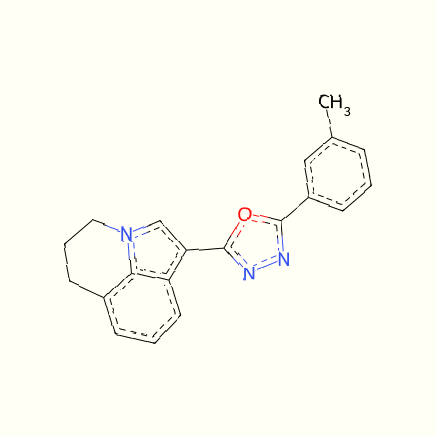 Cc1cccc(-c2nnc(-c3cn4c5c(cccc35)CCC4)o2)c1